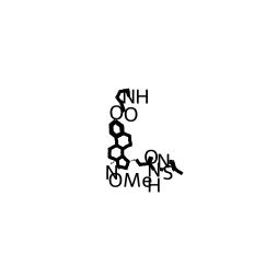 CO/N=C1\C[C@@H](CCC(=O)Nc2ncc(C)s2)C2C3CCc4cc(OC(=O)C5CCCN5)ccc4C3CC[C@]12C